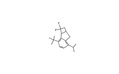 CC(C)c1ccc(C(C)(C)C)c2c1CC1CC(F)(F)C21